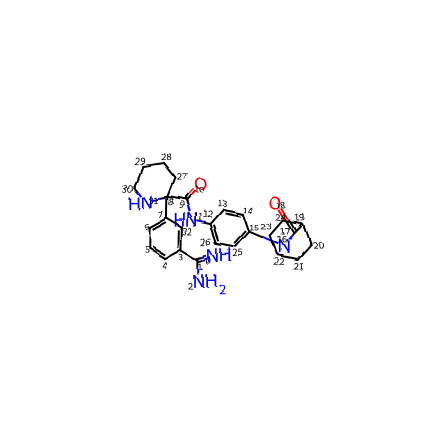 N=C(N)c1cccc(C2(C(=O)Nc3ccc(N4C(=O)C5CCC4CC5)cc3)CCCCN2)c1